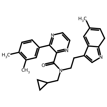 CC1=CCC2=NC=C(CCN(CC3CC3)C(=O)c3nccnc3-c3ccc(C)c(C)c3)C2=C1